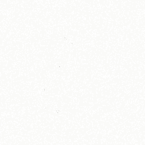 CO[C@H](C)CN(C)C(=O)[C@H]1CCC2=Cc3c(cnn3-c3ccc(F)cc3)C[C@@]21C